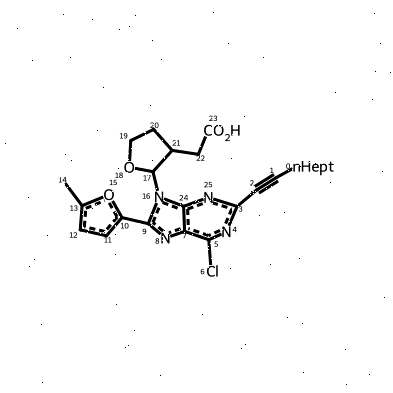 CCCCCCCC#Cc1nc(Cl)c2nc(-c3ccc(C)o3)n(C3OCCC3CC(=O)O)c2n1